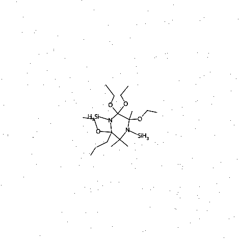 CCCC1(OCC)N([SiH3])C(OCC)(OCC)C(C)(OCC)N([SiH3])C1(C)C